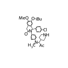 CCC(C)Oc1cc2c(cc1OC)CC(=O)N(c1ccc(N(C)C(C(C)=O)C3CCNCC3)cc1)C2c1ccc(Cl)cc1